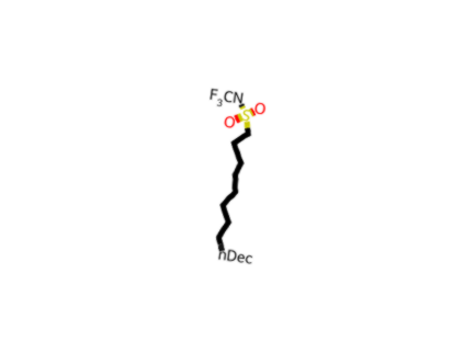 CCCCCCCCCCCCCCCCCCS(=O)(=O)NC(F)(F)F